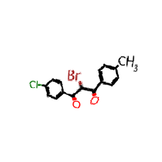 Cc1ccc(C(=O)C(Br)C(=O)c2ccc(Cl)cc2)cc1